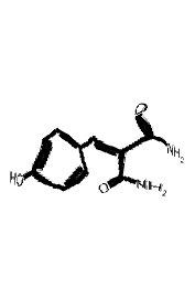 NC(=O)C(=Cc1ccc(O)cc1)C(N)=O